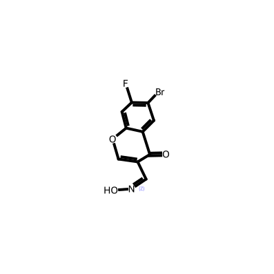 O=c1c(/C=N\O)coc2cc(F)c(Br)cc12